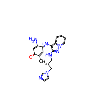 CC1=C/C(=N\c2c(NCCCn3ccnc3)nn3ccccc23)C(N)=CC1=O